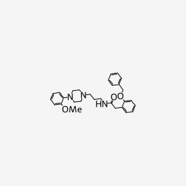 COc1ccccc1N1CCN(CCCNC(=O)Cc2ccccc2OCc2ccccc2)CC1